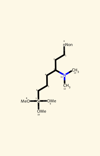 CCCCCCCCCCCC(CCC[Si](OC)(OC)OC)N(C)C